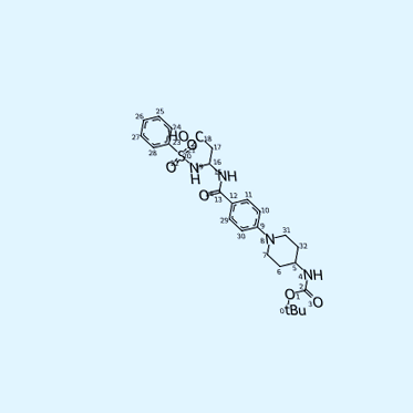 CC(C)(C)OC(=O)NC1CCN(c2ccc(C(=O)NC(CC(=O)O)NS(=O)(=O)c3ccccc3)cc2)CC1